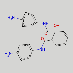 Nc1ccc(NC(=O)C2C=CC=CC2(O)C(=O)Nc2ccc(N)cc2)cc1